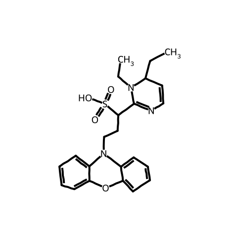 CCC1C=CN=C(C(CCN2c3ccccc3Oc3ccccc32)S(=O)(=O)O)N1CC